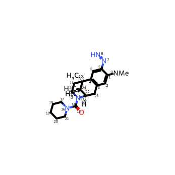 CNc1cc2c(cc1N=N)[C@]1(C)CCN(C(=O)N3CCCCC3)[C@H](C2)C1(C)C